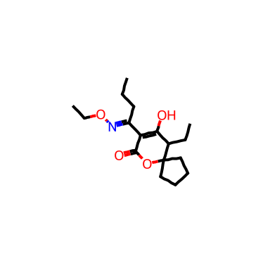 CCC/C(=N\OCC)C1=C(O)C(CC)C2(CCCC2)OC1=O